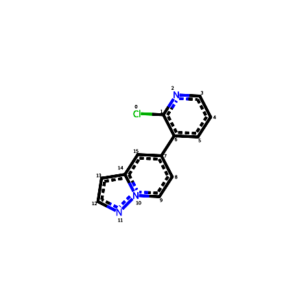 Clc1ncccc1-c1ccn2nccc2c1